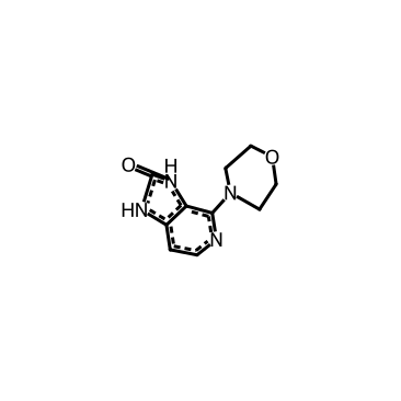 O=c1[nH]c2ccnc(N3CCOCC3)c2[nH]1